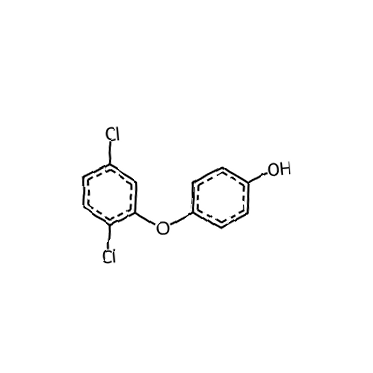 Oc1ccc(Oc2cc(Cl)ccc2Cl)cc1